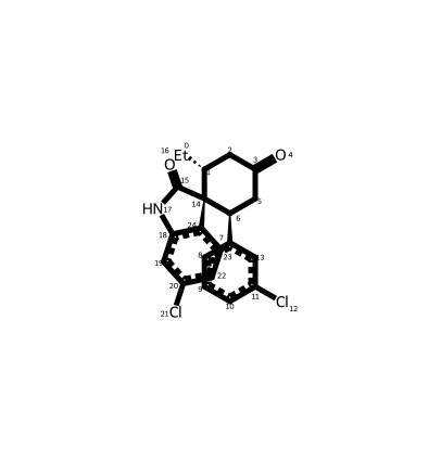 CC[C@@H]1CC(=O)C[C@@H](c2cccc(Cl)c2)[C@]12C(=O)Nc1cc(Cl)ccc12